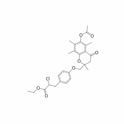 CCOC(=O)C(Cl)Cc1ccc(OCC2(C)CC(=O)c3c(C)c(OC(C)=O)c(C)c(C)c3O2)cc1